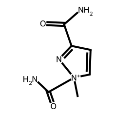 C[N+]1(C(N)=O)C=CC(C(N)=O)=N1